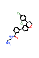 NCCNC(=O)c1cccc(-c2ccc3c(c2)C(c2ccc(Cl)cc2Cl)CCO3)c1